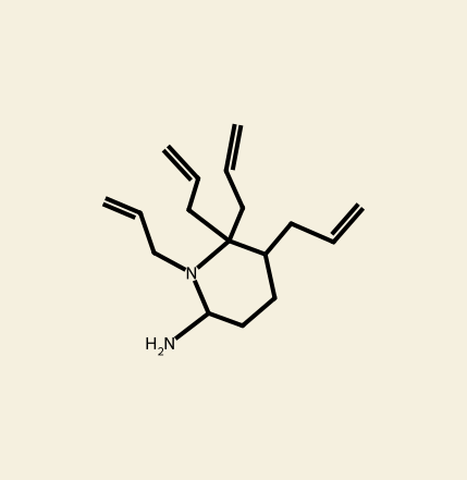 C=CCC1CCC(N)N(CC=C)C1(CC=C)CC=C